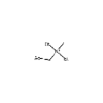 CC[N+](C)(CC)CC(C)=O